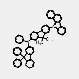 CC1(C)c2cc(N(c3ccccc3)c3ccc4c(c3)C(c3ccccc3)(c3ccccc3)C3=C4C=CCC3)ccc2-c2ccc(-n3c4ccccc4c4ccc5ccccc5c43)cc21